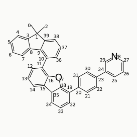 CC1(C)c2ccccc2-c2c(-c3cccc4c3oc3c(-c5ccc(-c6cccnc6)cc5)cccc34)cccc21